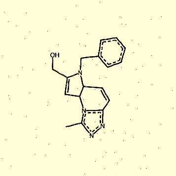 Cc1nnc2n1C1C=C(CO)N(Cc3ccccc3)C1C=C2